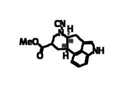 COC(=O)C1C[C@H]2c3cccc4[nH]cc(c34)C[C@@H]2N(C#N)C1